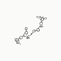 Cc1cc(N2CCC(N(CCC3(CCC#CC4CCN(c5cccc(CNC6CCN(c7cc(Cl)nc(N)n7)CC6)c5)C4)N=N3)Cc3cccc(N4CCCC4)c3)CC2)nc(N)n1